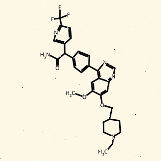 CCN1CCC(COc2cc3ncnc(-c4ccc(C(C(N)=O)c5ccc(C(F)(F)F)nc5)cc4)c3cc2OC)CC1